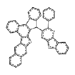 c1ccc(-c2nc3c(nc2C2c4ccccc4-c4c2c2sc5cc6ccccc6cc5c2c2ccccc42)sc2ccccc23)cc1